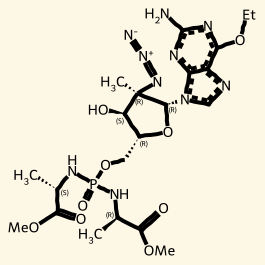 CCOc1nc(N)nc2c1ncn2[C@@H]1O[C@H](COP(=O)(N[C@@H](C)C(=O)OC)N[C@H](C)C(=O)OC)[C@@H](O)[C@@]1(C)N=[N+]=[N-]